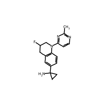 Cc1nccc(N2CC(F)Cc3cc(C4(N)CC4)ccc32)n1